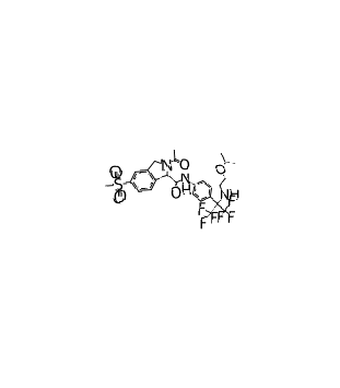 CC(=O)N1Cc2cc(S(C)(=O)=O)ccc2C1C(=O)Nc1ccc(C(NCCOC(C)C)(C(F)(F)F)C(F)(F)F)cc1